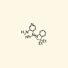 CCCN(c1ccncc1N)N1CC(CC)(CC)c2ccccc21